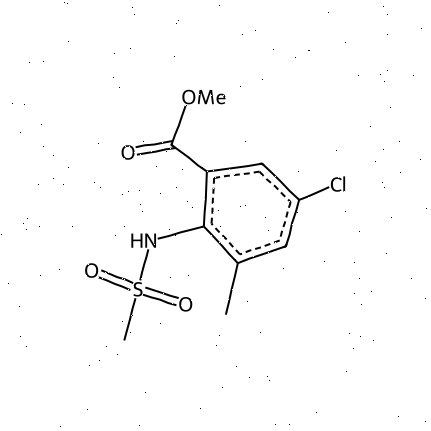 COC(=O)c1cc(Cl)cc(C)c1NS(C)(=O)=O